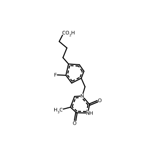 Cc1cn(Cc2ccc(CCCC(=O)O)c(F)c2)c(=O)[nH]c1=O